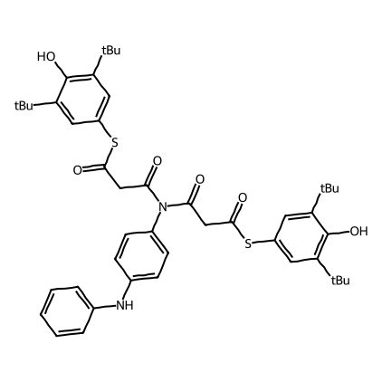 CC(C)(C)c1cc(SC(=O)CC(=O)N(C(=O)CC(=O)Sc2cc(C(C)(C)C)c(O)c(C(C)(C)C)c2)c2ccc(Nc3ccccc3)cc2)cc(C(C)(C)C)c1O